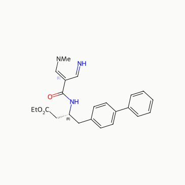 CCOC(=O)C[C@@H](Cc1ccc(-c2ccccc2)cc1)NC(=O)/C(C=N)=C/NC